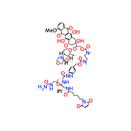 COc1cccc2c1C(=O)c1c(O)c3c(c(O)c1C2=O)C[C@@](O)(C(=O)COC(=O)N(C)CCN(C)C(=O)OCc1ccc(NC(=O)[C@@H](CCCNC(N)=O)NC(=O)[C@H](NC(=O)CCCCCN2C(=O)C=CC2=O)C(C)C)cc1)C[C@@H]3O[C@H]1C[C@H]2[C@H](O[C@@H]3COCCN32)[C@H](C)O1